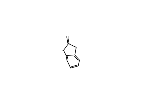 O=C1[CH]c2ccccc2C1